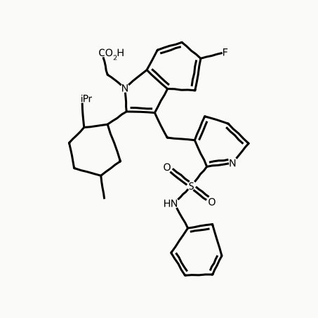 CC1CCC(C(C)C)C(c2c(Cc3cccnc3S(=O)(=O)Nc3ccccc3)c3cc(F)ccc3n2CC(=O)O)C1